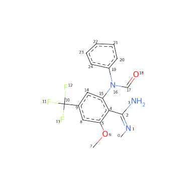 C/N=C(/N)c1c(OC)cc(C(F)(F)F)cc1N(C=O)c1ccccc1